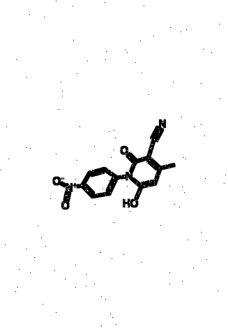 Cc1cc(O)n(-c2ccc([N+](=O)[O-])cc2)c(=O)c1C#N